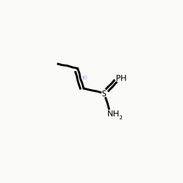 C/C=C/S(N)=P